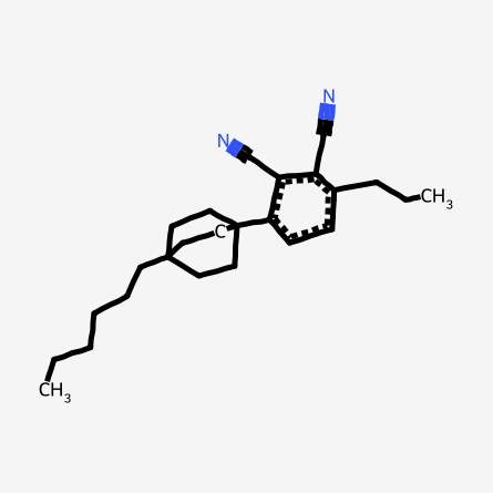 CCCCCCC12CCC(c3ccc(CCC)c(C#N)c3C#N)(CC1)CC2